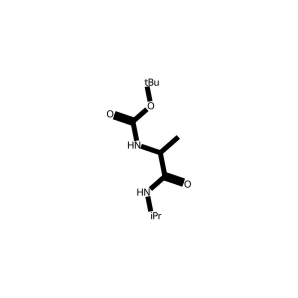 CC(C)NC(=O)C(C)NC(=O)OC(C)(C)C